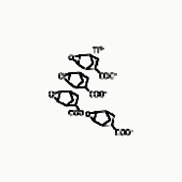 O=C([O-])C1CC2CC1C1OC21.O=C([O-])C1CC2CC1C1OC21.O=C([O-])C1CC2CC1C1OC21.O=C([O-])C1CC2CC1C1OC21.[Ti+4]